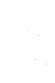 c1ccc(-n2c3ccc(-c4ccc5ccccc5n4)cc3c3c4ccccc4ccc32)nc1